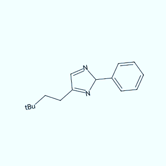 CC(C)(C)CCC1=NC(c2ccccc2)N=C1